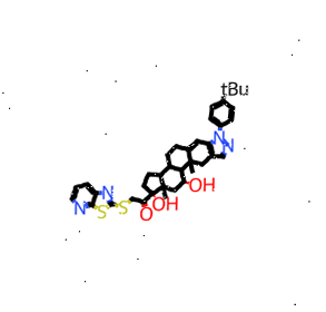 CC(C)(C)c1ccc(-n2ncc3c2C=C2CCC4C([C@@H](O)CC5(C)C4CC[C@]5(O)C(=O)CSc4nc5cccnc5s4)C2(C)C3)cc1